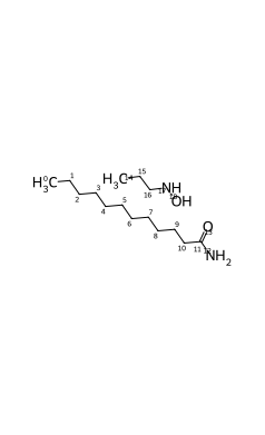 CCCCCCCCCCCC(N)=O.CCCNO